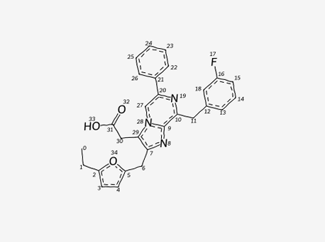 CCc1ccc(Cc2nc3c(Cc4cccc(F)c4)nc(-c4ccccc4)cn3c2CC(=O)O)o1